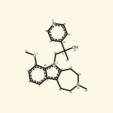 COc1cccc2c3c(n(CC(C)(O)c4ccncc4)c12)CCN(C)CC3